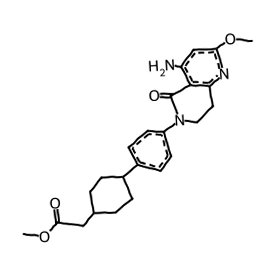 COC(=O)CC1CCC(c2ccc(N3CCc4nc(OC)cc(N)c4C3=O)cc2)CC1